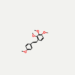 COc1ccc(/C=C/c2ccc(OC)c(OC)c2OC)cc1